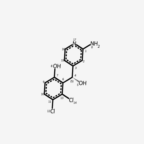 Nc1cc([C@H](O)c2c(O)ccc(Cl)c2Cl)ccn1